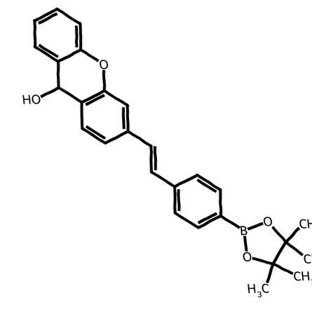 CC1(C)OB(c2ccc(C=Cc3ccc4c(c3)Oc3ccccc3C4O)cc2)OC1(C)C